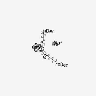 CCCCCCCCCCCCCCCCC(=O)OC[C@H](COP(=O)([O-])[O-])OC(=O)CCCCCCCCCCCCCCCC.[Na+].[Na+]